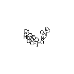 CCc1cc(Cc2ccc(F)c(C(=O)N3CCN(C4CCCOC4)C(=O)C3)c2)[n+](OC(=O)C(F)(F)F)[nH]c1=O